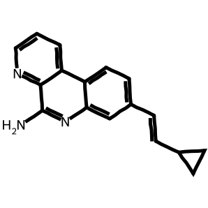 Nc1nc2cc(C=CC3CC3)ccc2c2cccnc12